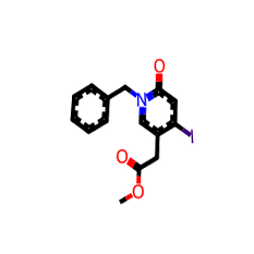 COC(=O)Cc1cn(Cc2ccccc2)c(=O)cc1I